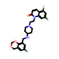 O=c1ccc2c(F)cc(F)cc2n1CCN1CCC(NCc2cc(F)cc3c2OCOC3)CC1